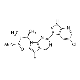 CNC(=O)[C@H](C)[C@@H](C)n1cc(F)c2cnc(-c3c[nH]c4ncc(Cl)cc34)nc21